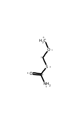 COCSC(N)=O